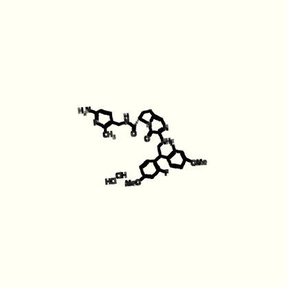 COc1ccc(C(CNc2ncc3n(c2=O)[C@H](C(=O)NCc2ccc(N)nc2C)CC3)c2ccc(OC)cc2F)c(F)c1.Cl.Cl